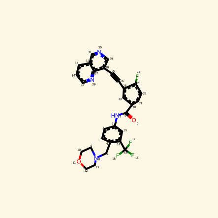 O=C(Nc1ccc(CN2CCOCC2)c(C(F)(F)F)c1)c1ccc(F)c(C#Cc2cncc3cccnc23)c1